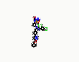 O=C1CN(c2cccc(-n3cc(-c4ccc(Cl)cc4Cl)nc3Cc3ccc(-c4ccc(OCC5CCCCC5)nn4)cc3)c2)S(=O)(=O)N1